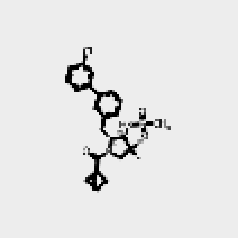 CS(=O)(=O)N[C@@H]1[C@H](Cc2cccc(-c3cccc(Cl)c3)c2)N(C(=O)C23CC(C2)C3)CC1(F)F